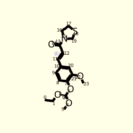 CCO[C@H](OC)Oc1ccc(/C=C/C(=O)N2CCSC2)cc1OC